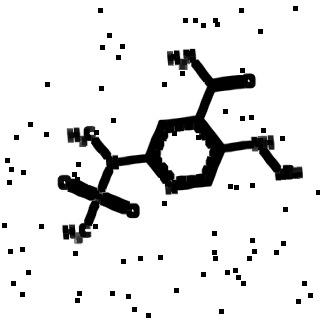 CCCCNc1cnc(N(C)S(C)(=O)=O)cc1C(N)=O